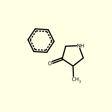 CC1CNCC1=O.c1ccccc1